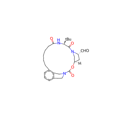 CC(C)(C)[C@@H]1NC(=O)CCCCCc2cccc3c2CN(C3)C(=O)O[C@@H]2C[C@@H](C=O)N(C2)C1=O